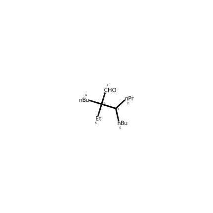 CCCCC(CCC)C([C]=O)(CC)CCCC